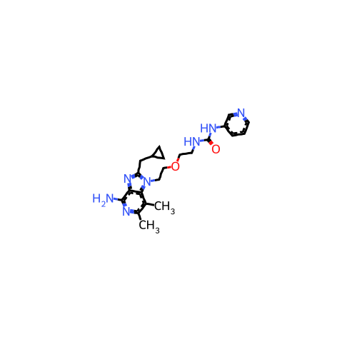 Cc1nc(N)c2nc(CC3CC3)n(CCOCCNC(=O)Nc3cccnc3)c2c1C